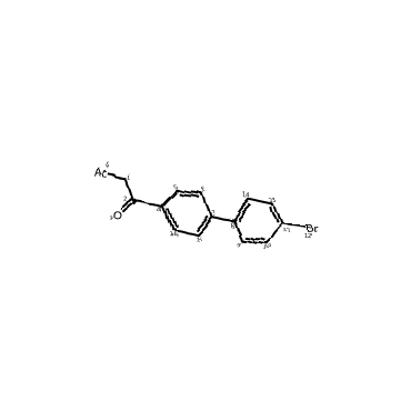 CC(=O)CC(=O)c1ccc(-c2ccc(Br)cc2)cc1